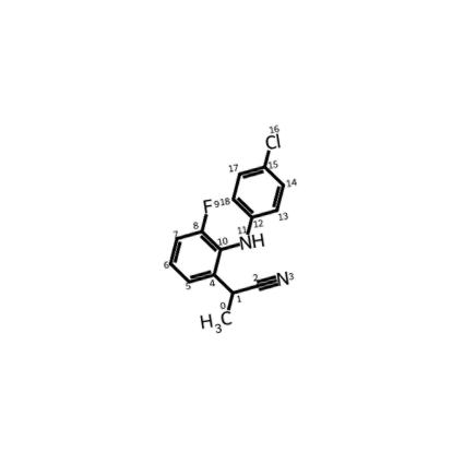 CC(C#N)c1cccc(F)c1Nc1ccc(Cl)cc1